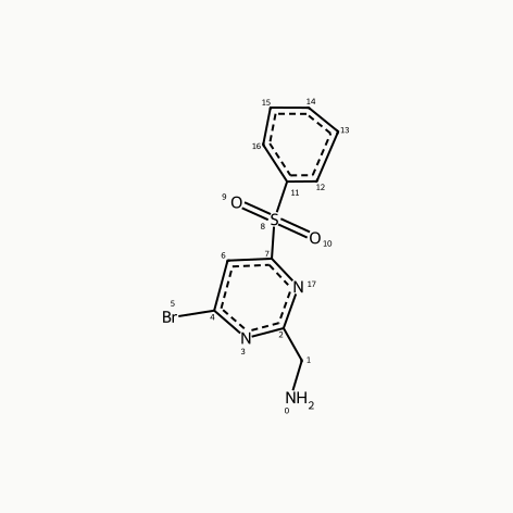 NCc1nc(Br)cc(S(=O)(=O)c2ccccc2)n1